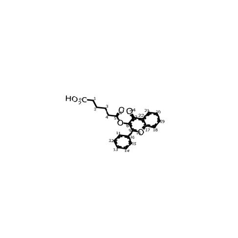 O=C(O)CCCCC(=O)Oc1c(-c2ccccc2)oc2ccccc2c1=O